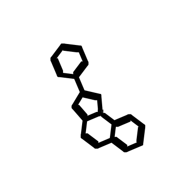 c1ccc(-c2cc3ccc4ccccc4n3c2)cc1